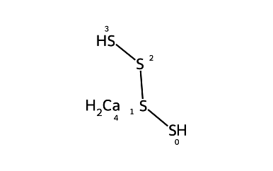 SSSS.[CaH2]